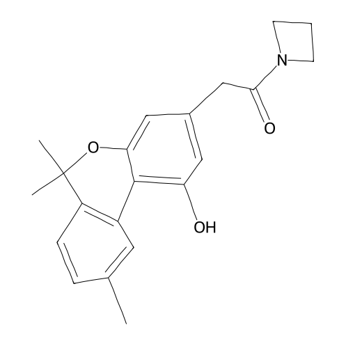 Cc1ccc2c(c1)-c1c(O)cc(CC(=O)N3CCC3)cc1OC2(C)C